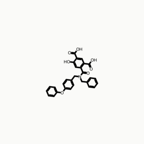 O=C(O)c1cc(C(=O)O)c(C(=O)N(Cc2ccccc2)Cc2ccc(Oc3ccccc3)cc2)cc1O